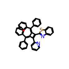 c1ccc(C(=C2C(=C(c3ccccc3)c3ccccc3)C(c3nc4ccccc4s3)=C2c2ccccn2)c2ccccc2)cc1